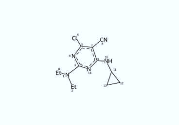 CCN(CC)c1nc(Cl)c(C#N)c(NC2CC2)n1